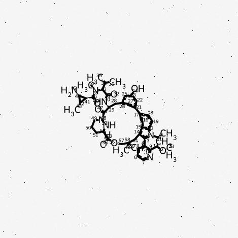 CCn1c(-c2cccnc2[C@H](C)OC)c2c3cc(ccc31)-c1cc(O)cc(c1)C[C@H](NC(=O)C(C(C)C)N(C)C(=O)[C@H]1[C@@H](C)[C@@H]1N)C(=O)N1CCC[C@H](N1)C(=O)OCC(C)(C)C2